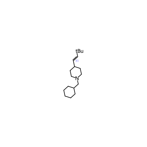 CC(C)(C)/C=C/C1CCN(CC2CCCCC2)CC1